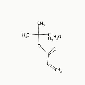 C=CC(=O)OC(C)(C)C.O